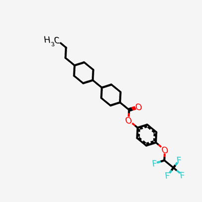 CCCC1CCC(C2CCC(C(=O)Oc3ccc(OC(F)C(F)(F)F)cc3)CC2)CC1